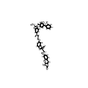 CCCc1nc2cc(N(C)CCOc3ccc4nc(COc5ccc(CC6SC(=O)NC6=O)cc5)n(C)c4c3)ccc2n1Cc1ccc(-c2ccccc2C(=O)O)cc1